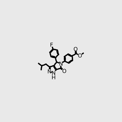 COC(=O)c1ccc(N2C(=O)c3[nH]nc(CC(C)C)c3C2c2ccc(F)cc2)cc1